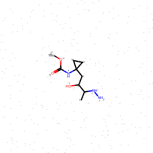 CC(NN)C(O)CC1(NC(=O)OC(C)(C)C)CC1